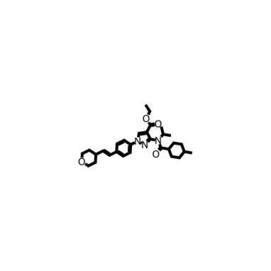 CCOC(=O)c1cn(-c2ccc(C=CC3CCOCC3)cc2)nc1N(C(=O)C1CCC(C)CC1)C(C)C